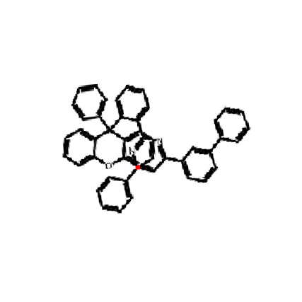 c1ccc(-c2cccc(-c3cc(-c4ccccc4)nc(-c4ccccc4C4(c5ccccc5)c5ccccc5Oc5ccccc54)n3)c2)cc1